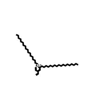 C=Cc1cc[n+](CCCCCCCCCCCCCCCCCC)c(CCCCCCCCCCCCCCCCCC)c1